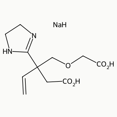 C=CC(COCC(=O)O)(CC(=O)O)C1=NCCN1.[NaH]